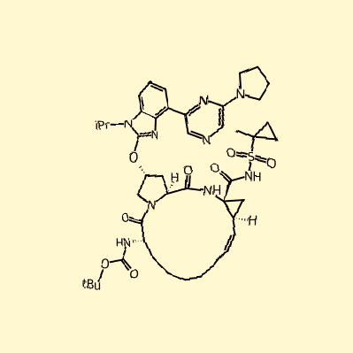 CC(C)n1c(O[C@@H]2C[C@H]3C(=O)N[C@]4(C(=O)NS(=O)(=O)C5(C)CC5)C[C@H]4/C=C\CCCCC[C@H](NC(=O)OC(C)(C)C)C(=O)N3C2)nc2c(-c3cncc(N4CCCC4)n3)cccc21